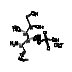 N[C@@H](C=O)[C@@H](O)[C@H](O)[C@H](O)CO.O=S(=O)(O)O.[Cl-].[Cl-].[Mn+2]